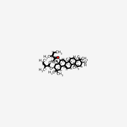 C/C=C(/C)C(=O)O[C@H]1[C@H](OC(=O)/C(C)=C\C)[C@@]2(CO)C(CC1(C)C)C1=CCC3[C@@](C)(CCC4C(C)(C)[C@@H](O)CC[C@@]43C)C1C[C@H]2O